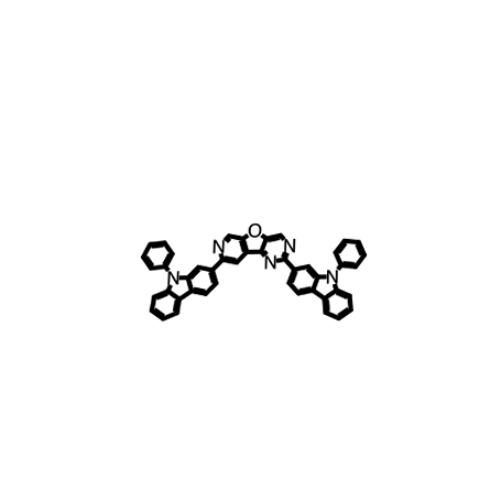 c1ccc(-n2c3ccccc3c3ccc(-c4cc5c(cn4)oc4cnc(-c6ccc7c8ccccc8n(-c8ccccc8)c7c6)nc45)cc32)cc1